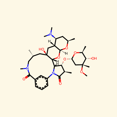 CO[C@]1(C)C[C@H](O[C@H]2[C@H]3[C@H]4O[C@@H]5O[C@H](C)C[C@H](N(C)C)[C@H]5C[C@@]4(O)C[C@@H](C)CN(C)C(=O)c4cccc(c4)N3C(=O)[C@@H]2C)O[C@@H](C)[C@@H]1O